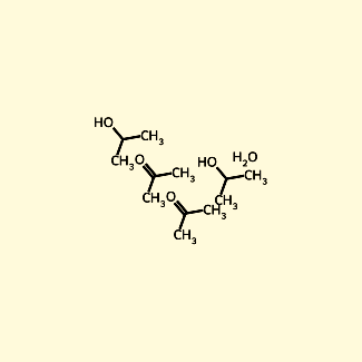 CC(C)=O.CC(C)=O.CC(C)O.CC(C)O.O